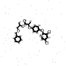 CC(COCc1ccccc1)OC(=O)C(C)Oc1ccc(Oc2ncc(Cl)cc2Cl)cc1